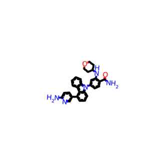 NC(=O)c1ccc(-n2c3ccccc3c3c(-c4ccc(N)nc4)cccc32)cc1NC1CCOCC1